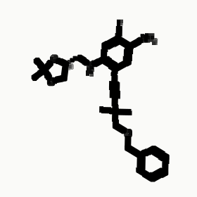 CC(C)(C#Cc1cc(N)c(F)cc1NC[C@@H]1COC(C)(C)O1)COCc1ccccc1